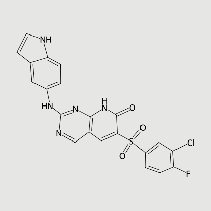 O=c1[nH]c2nc(Nc3ccc4[nH]ccc4c3)ncc2cc1S(=O)(=O)c1ccc(F)c(Cl)c1